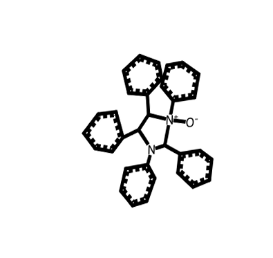 [O-][N+]1(c2ccccc2)C(c2ccccc2)C(c2ccccc2)N(c2ccccc2)C1c1ccccc1